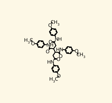 COc1ccc(NC(=O)CC(C(=O)Nc2ccc(OC)cc2)C(CC(=O)Nc2ccc(OC)cc2)C(=O)Nc2ccc(OC)cc2)cc1